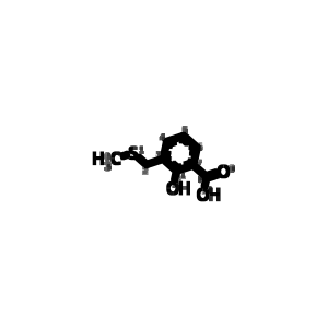 CSCc1cccc(C(=O)O)c1O